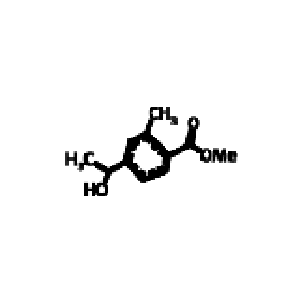 COC(=O)c1ccc(C(C)O)cc1C